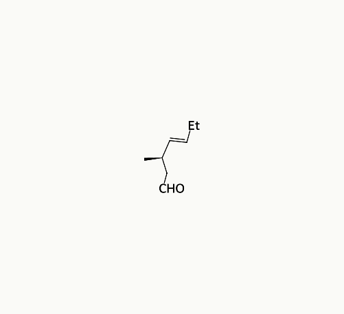 CCC=C[C@H](C)CC=O